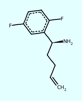 C=CCC[C@H](N)c1cc(F)ccc1F